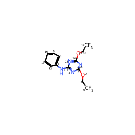 FC(F)(F)COc1nc(Nc2ccccc2)nc(OCC(F)(F)F)n1